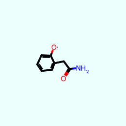 NC(=O)Cc1ccccc1[O]